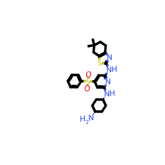 CC1(C)CCc2nc(Nc3cc(S(=O)(=O)c4ccccc4)cc(N[C@H]4CC[C@@H](N)CC4)n3)sc2C1